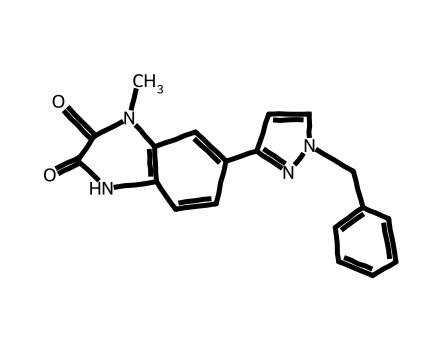 Cn1c(=O)c(=O)[nH]c2ccc(-c3ccn(Cc4ccccc4)n3)cc21